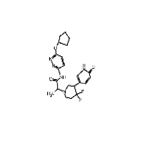 CC(C(=O)Nc1ccc(OC2CCCC2)nn1)N1CCC(F)(F)C(c2ccc(=O)[nH]c2)C1